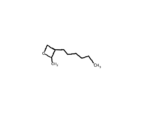 [CH2]C1OCC1CCCCCC